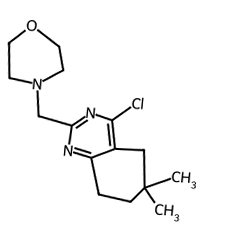 CC1(C)CCc2nc(CN3CCOCC3)nc(Cl)c2C1